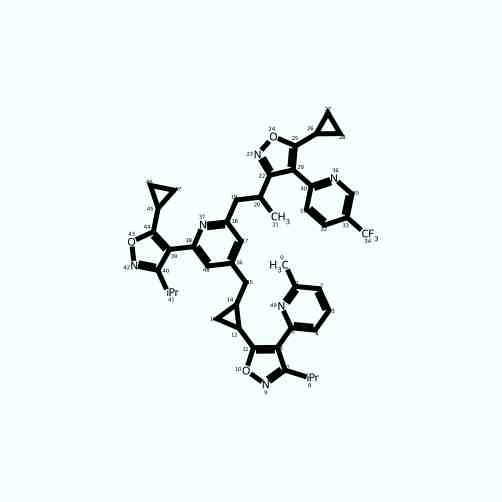 Cc1cccc(-c2c(C(C)C)noc2C2CC2Cc2cc(CC(C)c3noc(C4CC4)c3-c3ccc(C(F)(F)F)cn3)nc(-c3c(C(C)C)noc3C3CC3)c2)n1